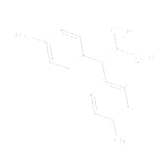 Cc1ccc(C(c2ccc(C)cc2)C(C(=O)O)C(=O)O)cc1